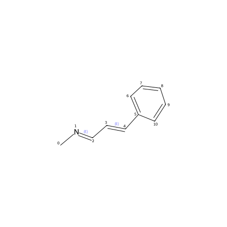 C/N=C/C=C/c1ccccc1